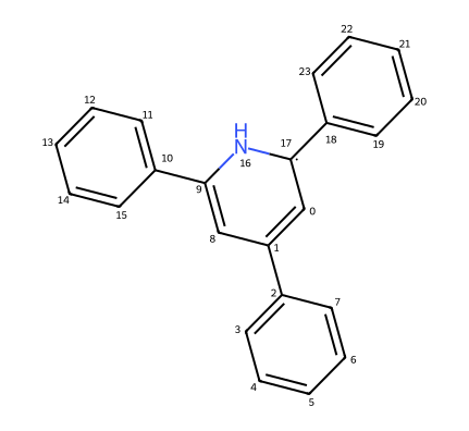 C1=C(c2ccccc2)C=C(c2ccccc2)N[C]1c1ccccc1